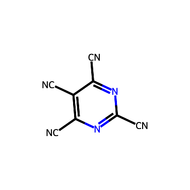 N#Cc1nc(C#N)c(C#N)c(C#N)n1